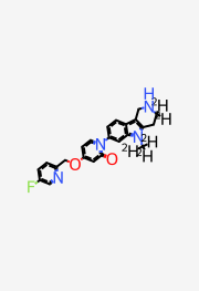 [2H]C1([2H])Cc2c(c3ccc(-n4ccc(OCc5ccc(F)cn5)cc4=O)cc3n2C([2H])([2H])[2H])CN1